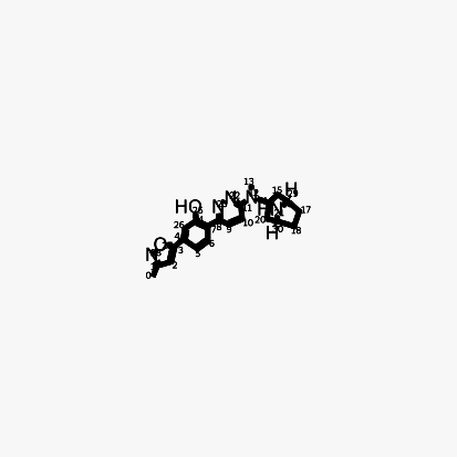 Cc1cc(-c2ccc(-c3ccc(N(C)C4C[C@H]5CC[C@@H](C4)N5)nn3)c(O)c2)on1